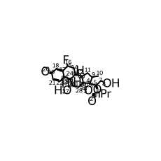 CCCC(=O)O[C@@]1(C(=O)CO)C(C)C[C@H]2[C@@H]3CC(F)C4=CC(=O)C=C[C@]4(C)[C@H]3[C@@H](O)C[C@@]21C